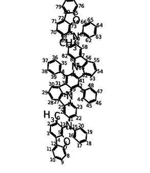 Cc1ccc2c(oc3ccccc32)c1N(c1ccccc1)c1ccc2c(c1)c1cccc3c4c(-c5ccccc5)c5c(c(-c6ccccc6)c4n2c13)c1cccc2c3cc(N(c4ccccc4)c4c(C)ccc6c4oc4ccccc46)ccc3n5c21